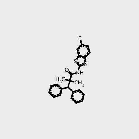 CC(C)(C(=O)Nc1nc2ccc(F)cc2s1)C(c1ccccc1)c1ccccc1